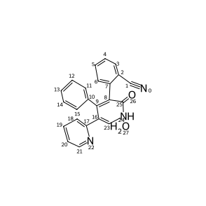 N#Cc1ccccc1-c1c(-c2ccccc2)c(-c2ccccn2)c[nH]c1=O.O